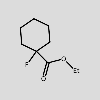 CCOC(=O)C1(F)CCCCC1